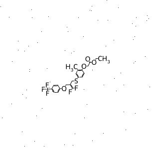 CCOC(=O)COc1ccc(SCC(COc2ccc(C(F)(F)F)cc2)=C(F)F)cc1C